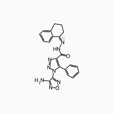 Nc1nonc1-n1nnc(C(=O)N/N=C2/CCCc3ccccc32)c1-c1ccccc1